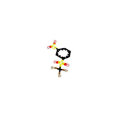 O=[SH](=O)c1cccc(S(=O)(=O)C(Br)(Br)Br)c1